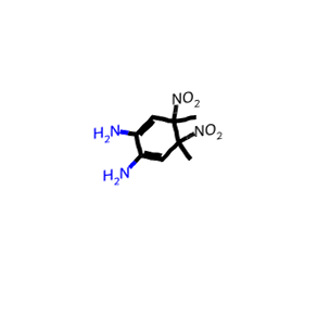 CC1([N+](=O)[O-])C=C(N)C(N)=CC1(C)[N+](=O)[O-]